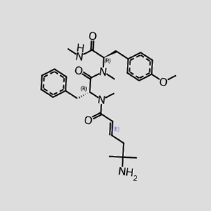 CNC(=O)[C@@H](Cc1ccc(OC)cc1)N(C)C(=O)[C@@H](Cc1ccccc1)N(C)C(=O)/C=C/CC(C)(C)N